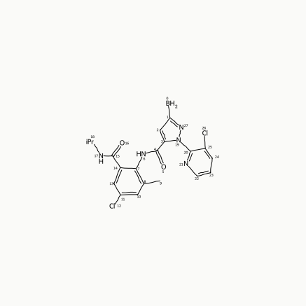 Bc1cc(C(=O)Nc2c(C)cc(Cl)cc2C(=O)NC(C)C)n(-c2ncccc2Cl)n1